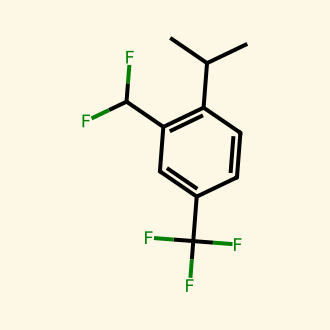 CC(C)c1ccc(C(F)(F)F)cc1C(F)F